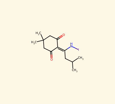 CC(C)CC(NI)=C1C(=O)CC(C)(C)CC1=O